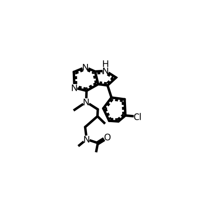 CC(=O)N(C)CC(C)CN(C)c1ncnc2[nH]cc(-c3cccc(Cl)c3)c12